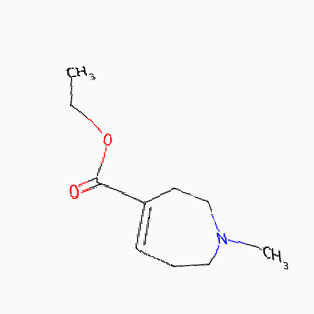 CCOC(=O)C1=CCCN(C)CC1